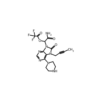 CC#CCn1c(=O)n(C(OC(=O)C(F)(F)F)C(N)=O)c2ncnc(N3CCNCC3)c21